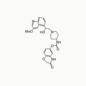 COc1cnc2cccc(C(O)CN3CCC(NC(=O)Oc4ccc5c(c4)NC(=O)CO5)CC3)c2c1